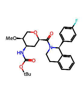 CO[C@H]1CO[C@@H](C(=O)N2CCc3ccccc3[C@@H]2c2ccc(F)cc2)C[C@H]1NC(=O)OC(C)(C)C